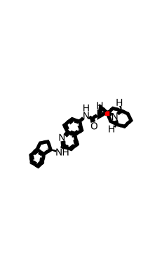 O=C(Nc1ccc2nc(N[C@@H]3CCc4ccccc43)ccc2c1)N[C@@H]1C[C@H]2CCC[C@@H](C1)N2C1CC1